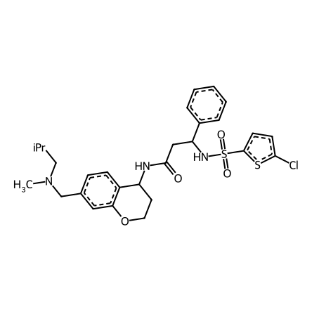 CC(C)CN(C)Cc1ccc2c(c1)OCCC2NC(=O)CC(NS(=O)(=O)c1ccc(Cl)s1)c1ccccc1